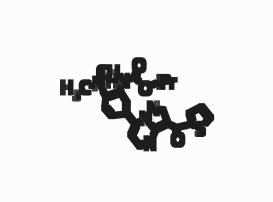 CC(C)OC(=O)Nc1cc(-c2ccnc3c(C(=O)c4cccs4)cnn23)ccc1N(C)C